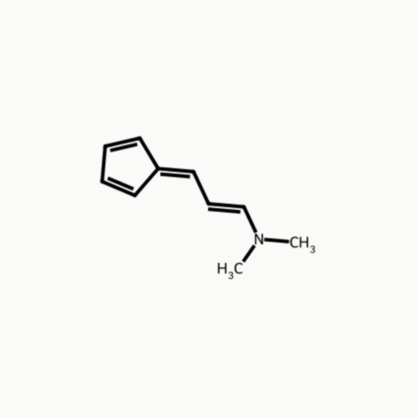 CN(C)C=CC=C1C=CC=C1